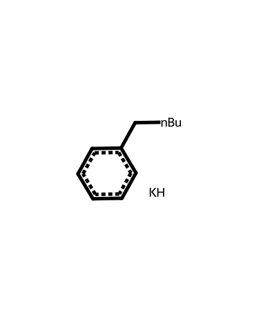 CCCCCc1ccccc1.[KH]